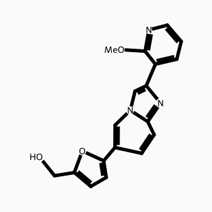 COc1ncccc1-c1cn2cc(-c3ccc(CO)o3)ccc2n1